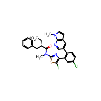 CN(C(=O)[C@@H](CC(=O)O)Cc1ccccc1)c1nc(-c2cc(Cl)ccc2-c2cnc3c(ccn3C)c2)c(F)s1